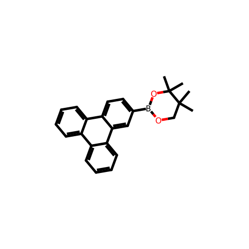 CC1(C)COB(c2ccc3c4ccccc4c4ccccc4c3c2)OC1(C)C